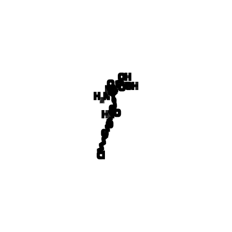 Nc1nc(=O)n([C@H]2CC(O)[C@@H](CO)O2)cc1C#CCOC(=O)NCCOCCOCCCCCCCl